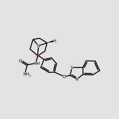 NC(=O)NC1CC2C[C@H](C1)N2Cc1ccc(Oc2nc3ccccc3s2)cc1